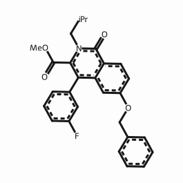 COC(=O)c1c(-c2cccc(F)c2)c2cc(OCc3ccccc3)ccc2c(=O)n1CC(C)C